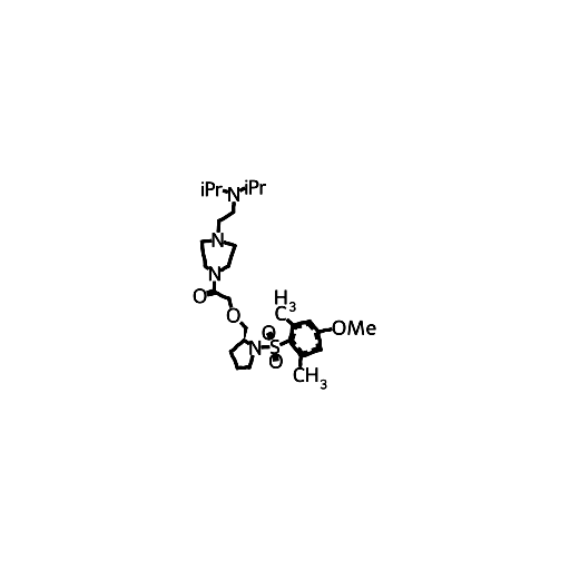 COc1cc(C)c(S(=O)(=O)N2CCC[C@H]2COCC(=O)N2CCN(CCN(C(C)C)C(C)C)CC2)c(C)c1